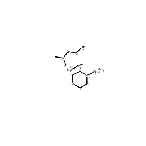 CCCN.CCN1CCOCC1.CN(C)CCO.N